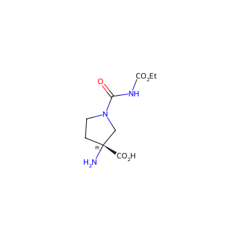 CCOC(=O)NC(=O)N1CC[C@](N)(C(=O)O)C1